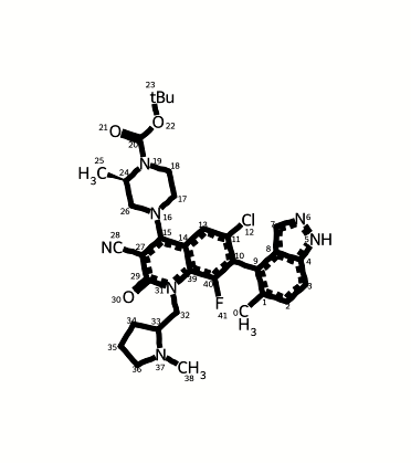 Cc1ccc2[nH]ncc2c1-c1c(Cl)cc2c(N3CCN(C(=O)OC(C)(C)C)[C@H](C)C3)c(C#N)c(=O)n(CC3CCCN3C)c2c1F